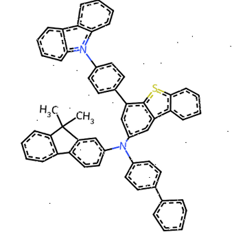 CC1(C)c2ccccc2-c2ccc(N(c3ccc(-c4ccccc4)cc3)c3cc(-c4ccc(-n5c6ccccc6c6ccccc65)cc4)c4sc5ccccc5c4c3)cc21